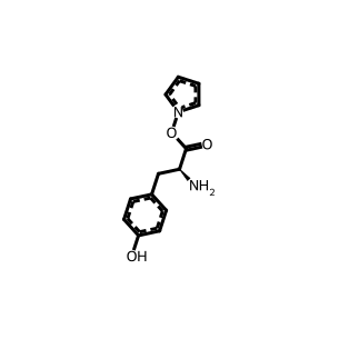 N[C@@H](Cc1ccc(O)cc1)C(=O)On1cccc1